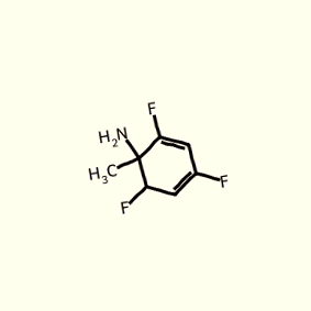 CC1(N)C(F)=CC(F)=CC1F